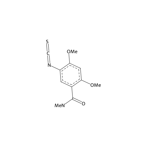 CNC(=O)c1cc(N=C=S)c(OC)cc1OC